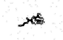 C=C(C)C(=O)OC.C=C(C)C(=O)OCCO.C=CC(=O)OCC